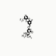 CC1(C)Cn2c(cc(OCc3cc(F)c(Oc4cncc(C(F)(F)F)c4)c(F)c3)nc2=O)N1